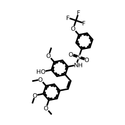 COc1cc(NS(=O)(=O)c2cccc(OC(F)(F)F)c2)c(/C=C\c2cc(OC)c(OC)c(OC)c2)cc1O